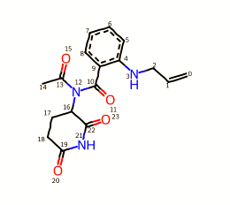 C=CCNc1ccccc1C(=O)N(C(C)=O)C1CCC(=O)NC1=O